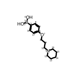 OB(O)c1ccc(OCCCN2CCCCC2)cc1